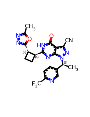 Cc1nnc([C@H]2CC[C@@H]2c2nc3c(c(C#N)nn3[C@@H](C)c3ccc(C(F)(F)F)nc3)c(=O)[nH]2)o1